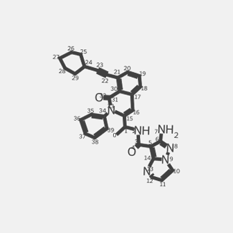 CC(NC(=O)c1c(N)nn2cccnc12)c1cc2cccc(C#CC3CCCCC3)c2c(=O)n1-c1ccccc1